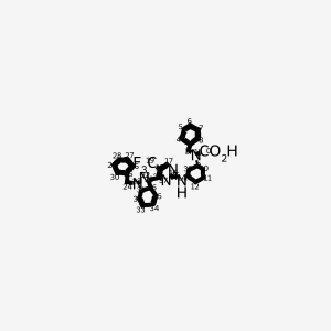 O=C(O)N(Cc1ccccc1)[C@H]1CCC[C@@H](Nc2ncc(C(F)(F)F)c(C3=NN(Cc4ccccc4)C4C=CC=CC34)n2)C1